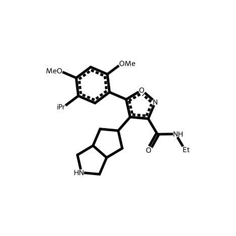 CCNC(=O)c1noc(-c2cc(C(C)C)c(OC)cc2OC)c1C1CC2CNCC2C1